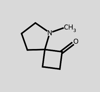 CN1CCCC12CCC2=O